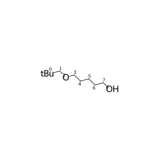 CC(C)(C)COCCCCCO